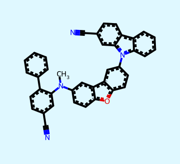 CN(c1ccc2oc3ccc(-n4c5ccccc5c5ccc(C#N)cc54)cc3c2c1)c1cc(C#N)ccc1-c1ccccc1